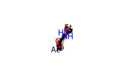 CCOc1ccccc1NCCNCCCCC(=O)c1ccc2c(c1)CCN2C(C)=O